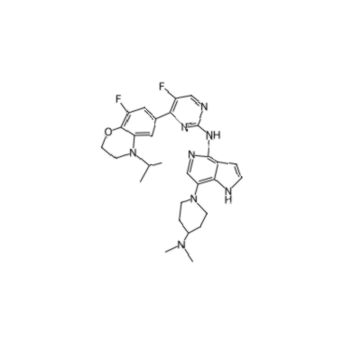 CC(C)N1CCOc2c(F)cc(-c3nc(Nc4ncc(N5CCC(N(C)C)CC5)c5[nH]ccc45)ncc3F)cc21